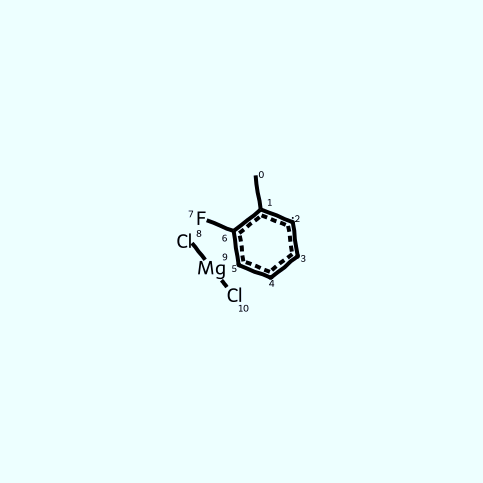 Cc1[c]cccc1F.[Cl][Mg][Cl]